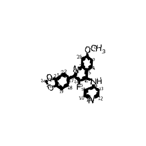 COc1ccc2c(Nc3ccncc3)c(F)c(-c3ccc4c(c3)OCO4)nc2c1